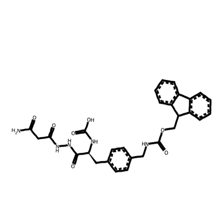 NC(=O)CC(=O)NNC(=O)[C@H](Cc1ccc(CNC(=O)OCC2c3ccccc3-c3ccccc32)cc1)NC(=O)O